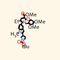 CCc1cc(C(=O)OC)c(=O)n(Cc2ccc(OC)cc2OC)c1-c1ccc2c(c1)cc(C1CCN(C(=O)OC(C)(C)C)C1)n2C